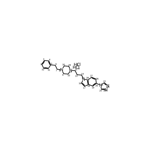 Cl.Cl.c1ccc(CCN2CCN(CCCn3ccc4cc(-n5cnnc5)ccc43)CC2)cc1